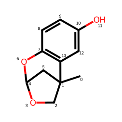 CC12COC(C1)Oc1ccc(O)cc12